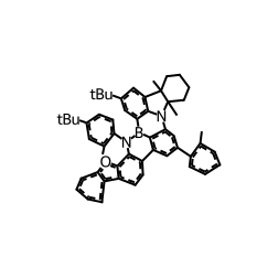 Cc1ccccc1-c1cc2c3c(c1)N1c4c(cc(C(C)(C)C)cc4C4(C)CCCCC14C)B3N(c1ccc(C(C)(C)C)cc1C)c1c-2ccc2c1oc1ccccc12